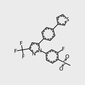 CS(=O)(=O)c1ccc(-n2nc(C(F)(F)F)cc2-c2ccc(-c3ccsc3)cc2)cc1F